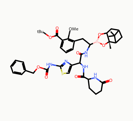 COc1c(CC(NC(=O)C(NC(=O)C2CCCC(=O)N2)c2csc(NC(=O)OCc3ccccc3)n2)B2OC3CC4CC(C4(C)C)[C@]3(C)O2)cccc1C(=O)OC(C)(C)C